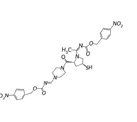 CC(=NC(=O)OCc1ccc([N+](=O)[O-])cc1)N1C[C@@H](S)C[C@H]1C(=O)N1CCN(C=NC(=O)OCc2ccc([N+](=O)[O-])cc2)CC1